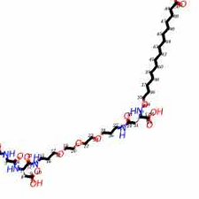 O=CNCC(=O)N[C@@H](CC(=O)O)C(=O)NCCCOCCOCCOCCCNC(=O)C[C@H](NOCCCCCCCCCCCCCCCC(=O)O)C(=O)O